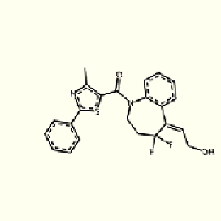 Cc1nc(-c2ccccc2)sc1C(=O)N1CCC(F)(F)C(=CCO)c2ccccc21